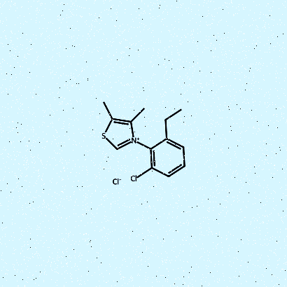 CCc1cccc(Cl)c1-[n+]1csc(C)c1C.[Cl-]